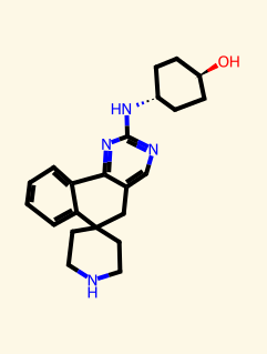 O[C@H]1CC[C@H](Nc2ncc3c(n2)-c2ccccc2C2(CCNCC2)C3)CC1